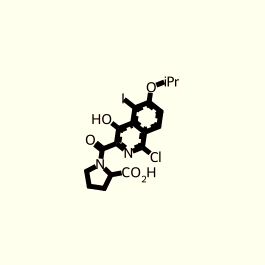 CC(C)Oc1ccc2c(Cl)nc(C(=O)N3CCCC3C(=O)O)c(O)c2c1I